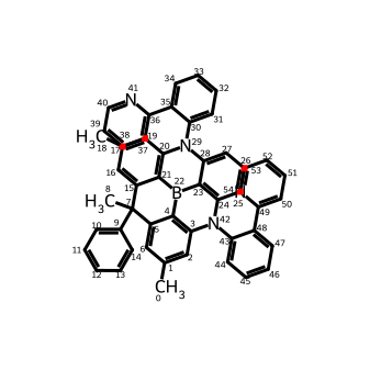 Cc1cc2c3c(c1)C(C)(c1ccccc1)c1cc(C)cc4c1B3c1c(cccc1N4c1ccccc1-c1ccccn1)N2c1ccccc1-c1ccccn1